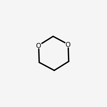 C1COCOC1